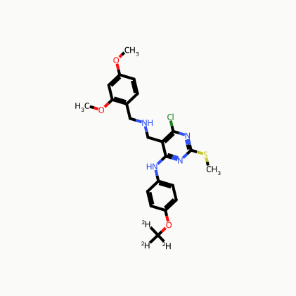 [2H]C([2H])([2H])Oc1ccc(Nc2nc(SC)nc(Cl)c2CNCc2ccc(OC)cc2OC)cc1